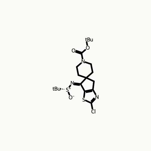 CC(C)(C)OC(=O)N1CCC2(CC1)Cc1nc(Cl)sc1/C2=N\[S@+]([O-])C(C)(C)C